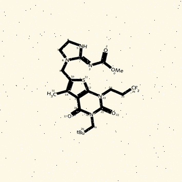 COC(=O)N=C1NCCN1Cc1sc2c(c1C)c(=O)n(CC(C)(C)C)c(=O)n2CCC(F)(F)F